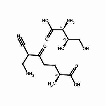 N#CC(CN)C(=O)CC[C@H](N)C(=O)O.N[C@H](C(=O)O)[C@H](O)CO